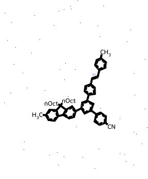 CCCCCCCCC1(CCCCCCCC)c2cc(C)ccc2-c2ccc(-c3cc(-c4ccc(C#N)cc4)cc(-c4ccc(/C=C/c5ccc(C)cc5)cc4)c3)cc21